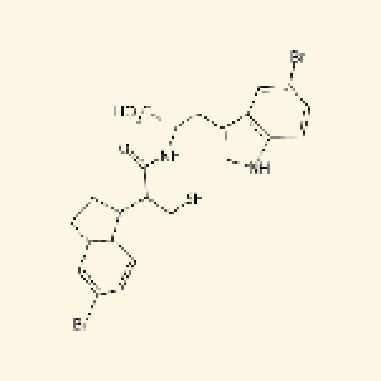 O=C(N[C@@H](Cc1c[nH]c2ccc(Br)cc12)C(=O)O)C(CS)C1CCc2cc(Br)ccc21